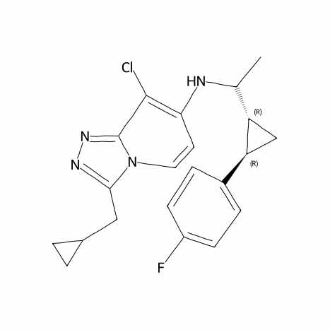 CC(Nc1ccn2c(CC3CC3)nnc2c1Cl)[C@@H]1C[C@H]1c1ccc(F)cc1